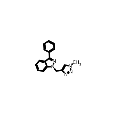 Cn1cc(Cn2nc(-c3ccccc3)c3ccccc32)nn1